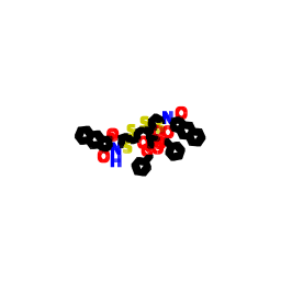 O=C1c2cc3ccccc3cc2C(=O)C1Nc1cc2sc3c(c2s1)OC(C(=O)OCc1ccccc1)(C(=O)OCc1ccccc1)c1c-3sc2cc(N=c3c(=O)c4cc5ccccc5cc4c3=O)sc12